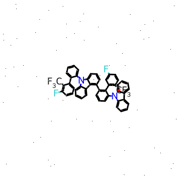 Fc1ccc(C(F)(F)F)c(-c2c(-c3cccc4c3c3ccccc3n4-c3ccccc3-c3cccc(F)c3C(F)(F)F)cccc2-n2c3ccccc3c3ccccc32)c1